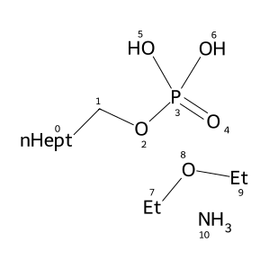 CCCCCCCCOP(=O)(O)O.CCOCC.N